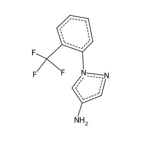 Nc1cnn(-c2ccccc2C(F)(F)F)c1